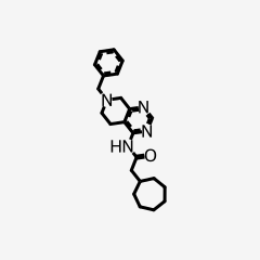 O=C(CC1CCCCCC1)Nc1ncnc2c1CCN(Cc1ccccc1)C2